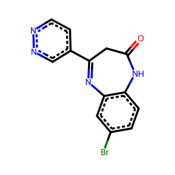 O=C1CC(c2ccnnc2)=Nc2cc(Br)ccc2N1